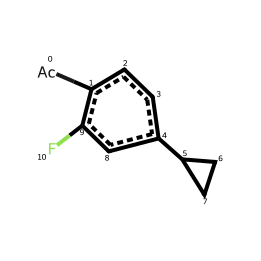 CC(=O)c1ccc(C2CC2)cc1F